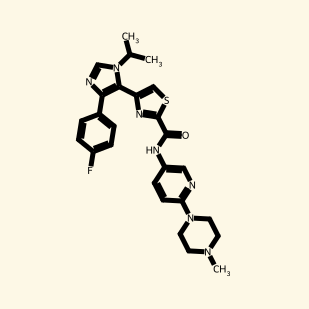 CC(C)n1cnc(-c2ccc(F)cc2)c1-c1csc(C(=O)Nc2ccc(N3CCN(C)CC3)nc2)n1